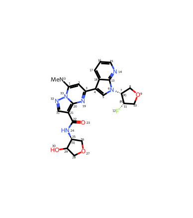 CNc1cc(-c2cn([C@@H]3COC[C@@H]3F)c3ncccc23)nc2c(C(=O)N[C@H]3COCC3O)cnn12